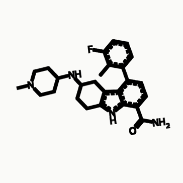 Cc1c(F)cccc1-c1ccc(C(N)=O)c2[nH]c3c(c12)CC(NC1CCN(C)CC1)CC3